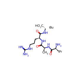 CC[C@H](C)[C@H](NC(=O)[C@H](CCCNC(=N)N)NC(=O)[C@H](C)NC(=O)[C@@H](N)C(C)C)C(=O)O